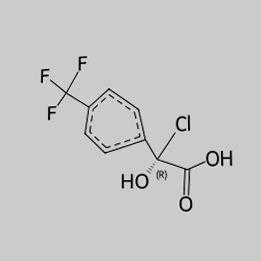 O=C(O)[C@](O)(Cl)c1ccc(C(F)(F)F)cc1